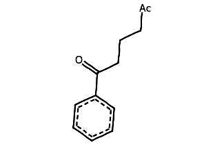 CC(=O)CCCC(=O)c1ccccc1